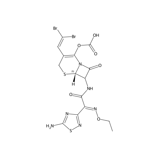 CCON=C(C(=O)NC1C(=O)N2C(OC(=O)O)=C(C=C(Br)Br)CS[C@@H]12)c1nsc(N)n1